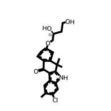 Cc1cc2c3c([nH]c2cc1Cl)C(C)(C)c1cc(OC[C@@H](O)CCO)ccc1C3=O